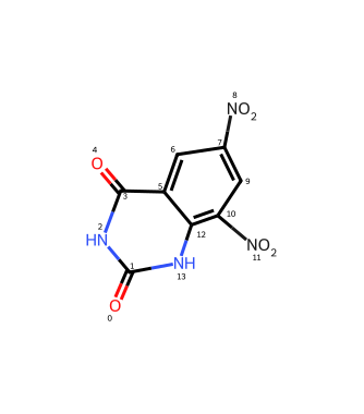 O=c1[nH]c(=O)c2cc([N+](=O)[O-])cc([N+](=O)[O-])c2[nH]1